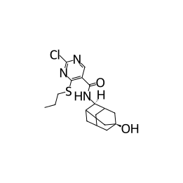 CCCSc1nc(Cl)ncc1C(=O)N[C@H]1C2CC3CC1C[C@@](O)(C3)C2